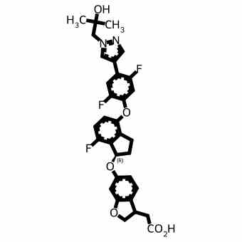 CC(C)(O)Cn1cc(-c2cc(F)c(Oc3ccc(F)c4c3CC[C@H]4Oc3ccc4c(c3)OCC4CC(=O)O)cc2F)cn1